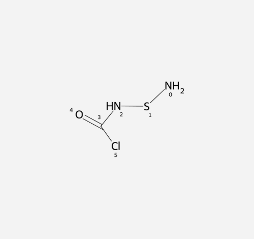 NSNC(=O)Cl